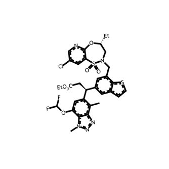 CCOC(=O)C[C@@H](c1cc(CN2C[C@@H](CC)Oc3ncc(Cl)cc3S2(=O)=O)c2sccc2c1)c1cc(OC(F)F)c2c(nnn2C)c1C